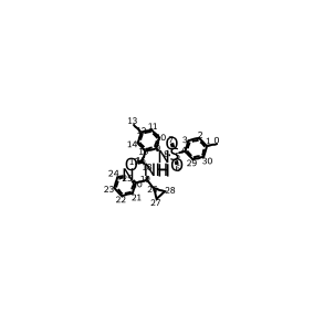 Cc1ccc(S(=O)(=O)Nc2ccc(C)cc2C(=O)NC(c2ccccn2)C2CC2)cc1